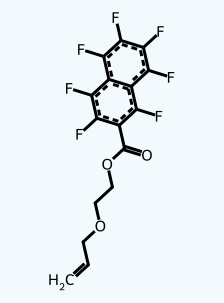 C=CCOCCOC(=O)c1c(F)c(F)c2c(F)c(F)c(F)c(F)c2c1F